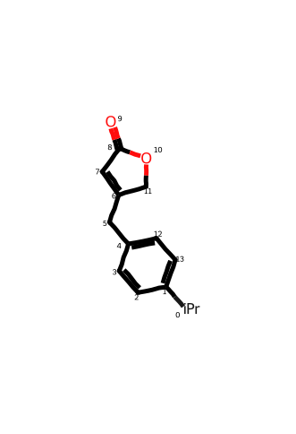 CC(C)c1ccc(CC2=CC(=O)OC2)cc1